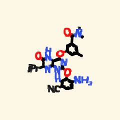 Cc1cc(OC2=C3NC(=O)C(C(C)C)N=C3NC(Oc3cc(C#N)ccc3N)=N2)cc(C(=O)N(C)C)c1